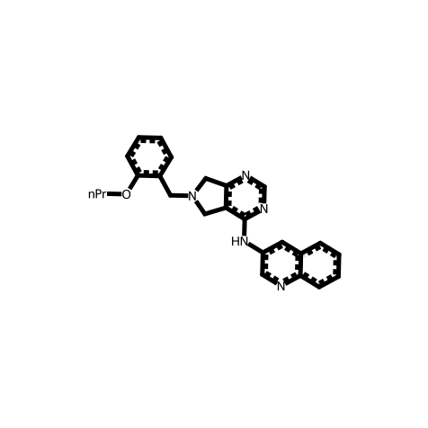 CCCOc1ccccc1CN1Cc2ncnc(Nc3cnc4ccccc4c3)c2C1